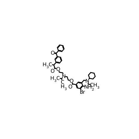 CCN(Cc1cc(C(=O)OCCN(CCOC(=O)C(C)c2cccc(C(=O)c3ccccc3)c2)C(C)C)cc(Br)c1N)C1CCCCC1